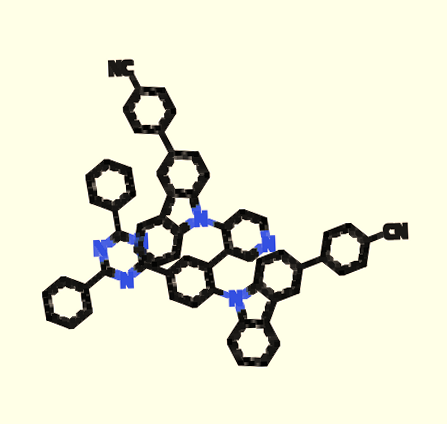 N#Cc1ccc(-c2ccc3c(c2)c2ccccc2n3-c2ccncc2-c2cc(-c3nc(-c4ccccc4)nc(-c4ccccc4)n3)ccc2-n2c3ccccc3c3cc(-c4ccc(C#N)cc4)ccc32)cc1